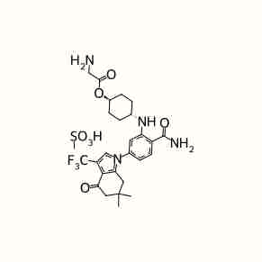 CC1(C)CC(=O)c2c(C(F)(F)F)cn(-c3ccc(C(N)=O)c(N[C@H]4CC[C@H](OC(=O)CN)CC4)c3)c2C1.CS(=O)(=O)O